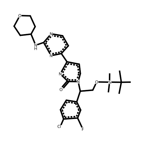 CC(C)(C)[Si](C)(C)OCC(c1ccc(Cl)c(F)c1)n1ccc(-c2ccnc(NC3CCOCC3)n2)nc1=O